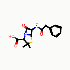 CC1(C)SC2C(NC(=O)Cc3ccccc3)C(=O)N2[C@@H]1C(=O)O